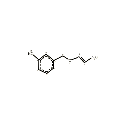 CCCCC=NOCc1cccc(C#N)c1